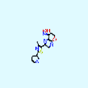 Cc1nc(-c2cccnc2)sc1-c1cnc2c(n1)/C(=N/O)CCO2